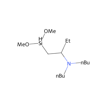 CCCCN(CCCC)C(CC)C[SiH](OC)OC